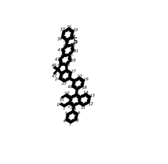 C/C=c1/c(-c2ccccc2)c2ccccc2c(-c2cccc(-c3ccc4c(c3)-c3cc5cc6sc7ccccc7c6cc5cc3C4(C)C)c2)/c1=C/C